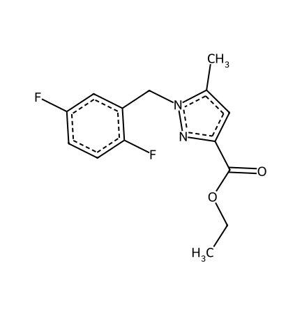 CCOC(=O)c1cc(C)n(Cc2cc(F)ccc2F)n1